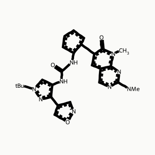 CNc1ncc2cc(-c3ccccc3NC(=O)Nc3cn(C(C)(C)C)nc3-c3cnoc3)c(=O)n(C)c2n1